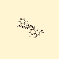 COc1cc(C)c2c(c1)-c1onc(NS(=O)(=O)c3ccccc3OC)c1CC21CC1